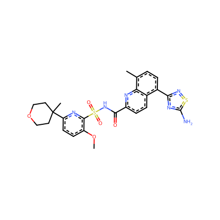 COc1ccc(C2(C)CCOCC2)nc1S(=O)(=O)NC(=O)c1ccc2c(-c3nsc(N)n3)ccc(C)c2n1